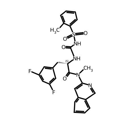 Cc1ccccc1S(=O)(=O)NC(=O)N[C@@H](Cc1cc(F)cc(F)c1)C(=O)N(C)c1cc2ccccc2cn1